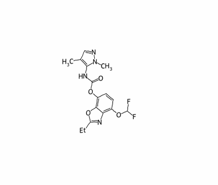 CCc1nc2c(OC(F)F)ccc(OC(=O)Nc3c(C)cnn3C)c2o1